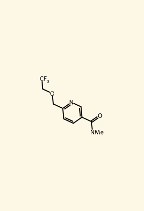 CNC(=O)c1ccc(COCC(F)(F)F)nc1